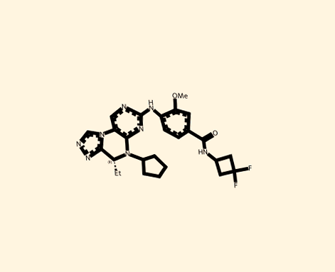 CC[C@@H]1c2nncn2-c2cnc(Nc3ccc(C(=O)NC4CC(F)(F)C4)cc3OC)nc2N1C1CCCC1